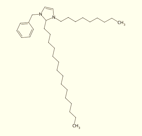 CCCCCCCCCCCCCCCC1N(CCCCCCCCC)C=CN1Cc1ccccc1